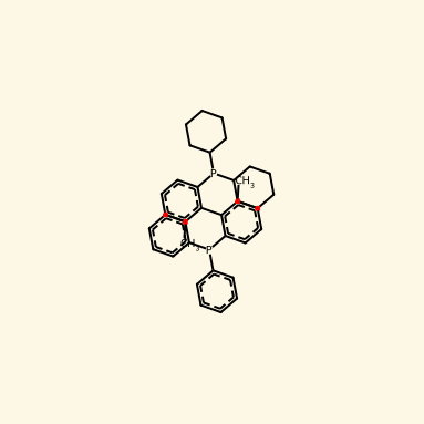 Cc1cccc(P(c2ccccc2)c2ccccc2)c1-c1c(C)cccc1P(C1CCCCC1)C1CCCCC1